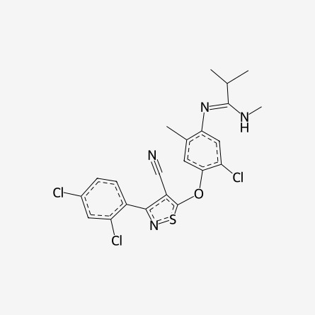 CNC(=Nc1cc(Cl)c(Oc2snc(-c3ccc(Cl)cc3Cl)c2C#N)cc1C)C(C)C